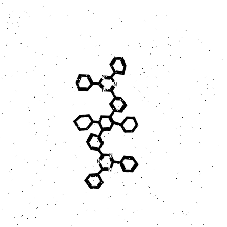 C1=C(c2cccc(-c3nc(-c4ccccc4)nc(-c4ccccc4)n3)c2)C(C2CCCCC2)CC(c2cccc(-c3nc(-c4ccccc4)nc(-c4ccccc4)n3)c2)=C1C1CCCCC1